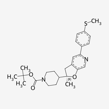 CSc1ccc(-c2cc3c(cn2)O[C@@](C)(C2CCN(C(=O)OC(C)(C)C)CC2)C3)cc1